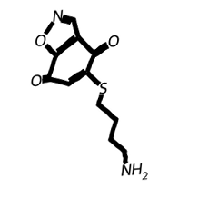 NCCCCSC1=CC(=O)c2oncc2C1=O